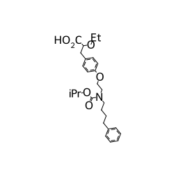 CCOC(Cc1ccc(OCCN(CCCCc2ccccc2)C(=O)OC(C)C)cc1)C(=O)O